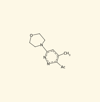 CC(=O)c1nnc(N2CCOCC2)cc1C